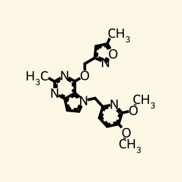 COc1ccc(Cn2ccc3nc(C)nc(OCc4cc(C)on4)c32)nc1OC